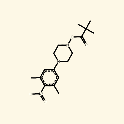 Cc1cc(N2CCN(OC(=O)C(C)(C)C)CC2)cc(C)c1[N+](=O)[O-]